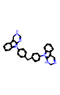 C1=NCNc2c1c1ccccc1n2-c1ccc(Cc2ccc(-n3c4c(c5ccccc53)CNC=N4)cc2)cc1